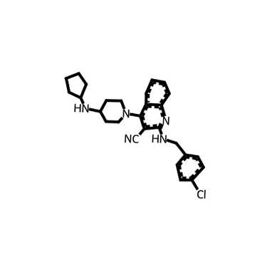 N#Cc1c(NCc2ccc(Cl)cc2)nc2ccccc2c1N1CCC(NC2CCCC2)CC1